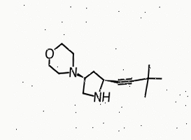 CC(C)(C)C#C[C@@H]1C[C@H](N2CCOCC2)CN1